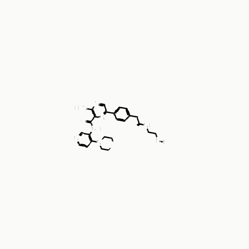 BNCCNC(=O)Cc1ccc(-c2cnc(N)c(C(=O)Nc3cnccc3N3CCOCC3)n2)cc1